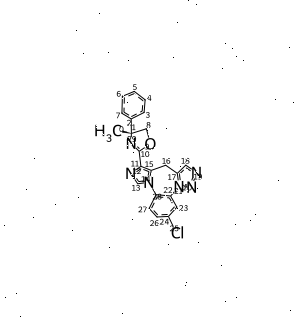 C[C@@]1(c2ccccc2)COC(c2ncn3c2Cc2cnnn2-c2cc(Cl)ccc2-3)=N1